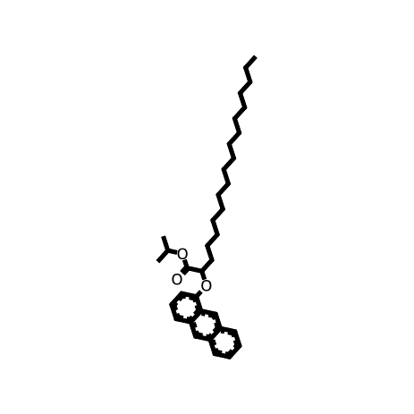 CCCCCCCCCCCCCCCCCC(Oc1cccc2cc3ccccc3cc12)C(=O)OC(C)C